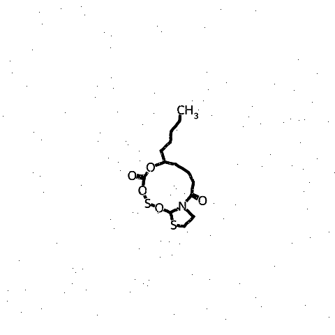 CCCCCC1CCCC(=O)N2CCSC2OSOC(=O)O1